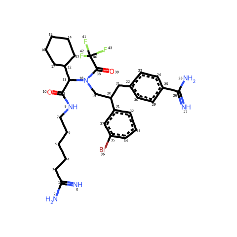 N=C(N)CCCCCNC(=O)C(C1CCCCC1)N(CC(Cc1ccc(C(=N)N)cc1)c1cccc(Br)c1)C(=O)C(F)(F)F